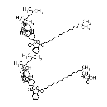 CC(C)CCCCCCCCCCCCCCCOC(=O)c1ccccc1C(=O)O[C@H]1CC[C@@]2(C)C(=CC[C@H]3[C@@H]4CC[C@H]([C@H](C)CCCC(C)C)[C@@]4(C)CC[C@@H]32)C1.CC(C)CCCCCCCCCCCCCCCOC(=O)c1ccccc1C(=O)O[C@H]1CC[C@@]2(C)C(=CC[C@H]3[C@@H]4CC[C@H]([C@H](C)CCCC(C)C)[C@@]4(C)CC[C@@H]32)C1.O=C(O)O